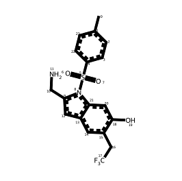 Cc1ccc(S(=O)(=O)n2c(CN)cc3cc(CC(F)(F)F)c(O)cc32)cc1